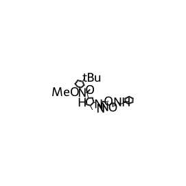 COc1ccc(C(C)(C)C)cc1NC(=O)c1ccc(C)c(-n2cc(OC(=O)NCc3ccccc3)nn2)c1